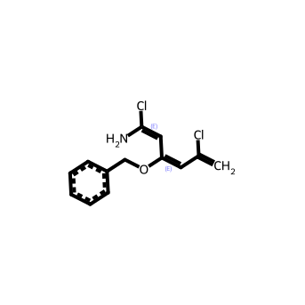 C=C(Cl)/C=C(\C=C(/N)Cl)OCc1ccccc1